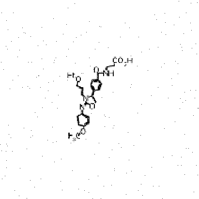 CCOCCCN1C(=Nc2ccc(OC(F)(F)F)cc2)OCC1c1ccc(C(=O)NCCC(=O)O)cc1